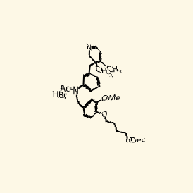 Br.CCCCCCCCCCCCCCOc1ccc(CN(C(C)=O)c2cccc(CC3(C)CN=CC=C3C)c2)cc1OC